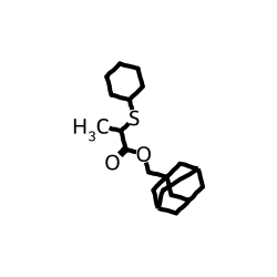 CC(SC1CCCCC1)C(=O)OCC12CC3CC(CC(C3)C1)C2